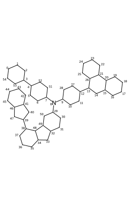 C1CCC(C2CCC(N(C3CCC(C4CC5CCCCC5C5CCCCC45)CC3)C3CCC4CC5CCCC(C6CC7CCCCC7C6)C5C4C3)CC2)CC1